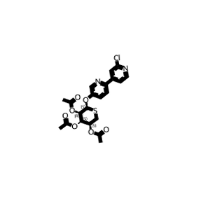 CC(=O)O[C@@H]1[C@@H](OC(C)=O)[C@@H](Oc2ccc(-c3ccnc(Cl)c3)nc2)SC[C@H]1OC(C)=O